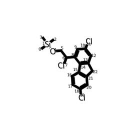 C[Si](C)(C)OCC(Cl)c1cc(Cl)cc2c1-c1ccc(Cl)cc1C2